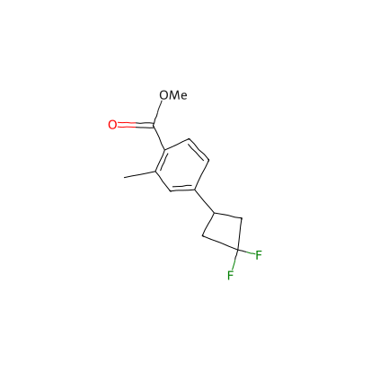 COC(=O)c1ccc(C2CC(F)(F)C2)cc1C